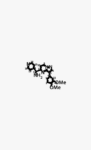 COc1ccc(-c2cnn3ccc(C(N)c4ccncc4)nc23)cc1OC